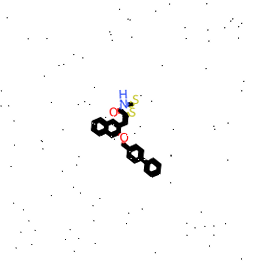 O=C1NC(=S)SC1=Cc1cc2ccccc2cc1OCc1ccc(-c2ccccc2)cc1